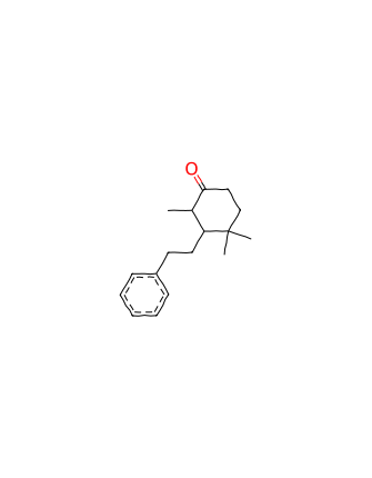 CC1C(=O)CCC(C)(C)C1CCc1ccccc1